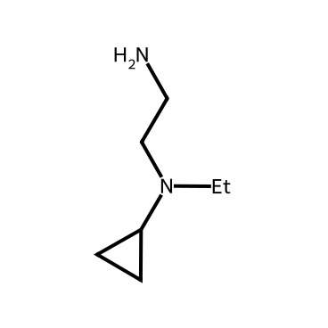 CCN(CCN)C1CC1